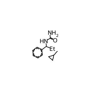 CC1CC1.CCC(NC(N)=O)c1ccccc1